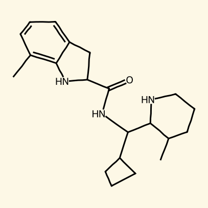 Cc1cccc2c1NC(C(=O)NC(C1CCC1)C1NCCCC1C)C2